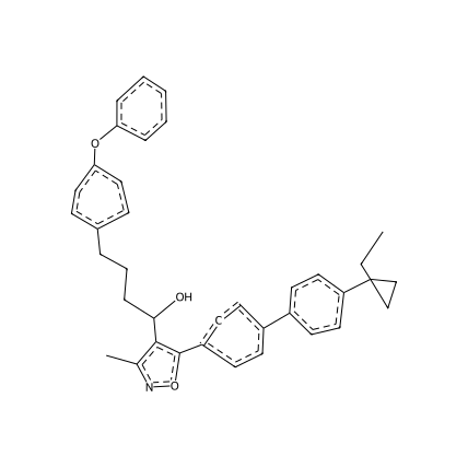 CCC1(c2ccc(-c3ccc(-c4onc(C)c4C(O)CCCc4ccc(Oc5ccccc5)cc4)cc3)cc2)CC1